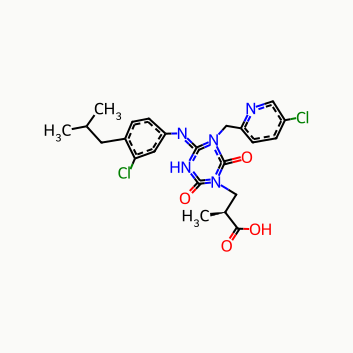 CC(C)Cc1ccc(/N=c2\[nH]c(=O)n(C[C@H](C)C(=O)O)c(=O)n2Cc2ccc(Cl)cn2)cc1Cl